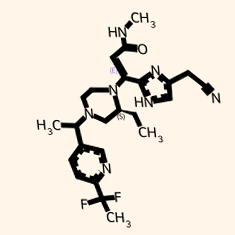 CC[C@H]1CN(C(C)c2ccc(C(C)(F)F)nc2)CCN1/C(=C/C(=O)NC)c1nc(CC#N)c[nH]1